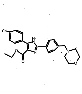 CCOC(=O)c1nc(-c2ccc(CN3CCOCC3)cc2)[nH]c1-c1ccc(Cl)cc1